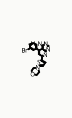 Nc1ncnc2nc(-c3ccc(N4CCOCC4)s3)cc(-c3cccc(Br)c3)c12